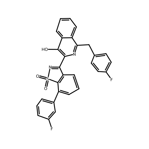 O=S1(=O)N=C(c2nc(Cc3ccc(F)cc3)c3ccccc3c2O)c2cccc(-c3cccc(F)c3)c21